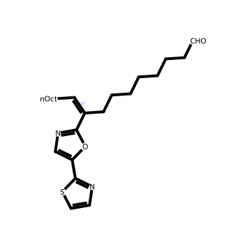 CCCCCCCC/C=C(/CCCCCCCC=O)c1ncc(-c2nccs2)o1